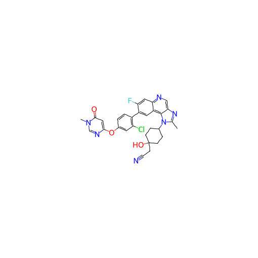 Cc1nc2cnc3cc(F)c(-c4ccc(Oc5cc(=O)n(C)cn5)cc4Cl)cc3c2n1C1CCC(O)(CC#N)CC1